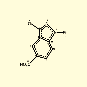 CCn1nc(Cl)c2cc(C(=O)O)ccc21